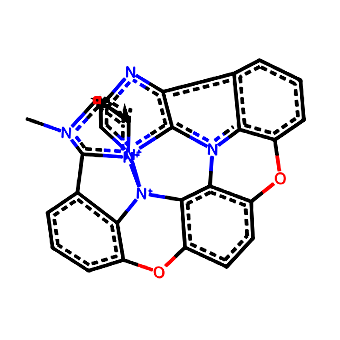 Cn1c2[n+](c3ccccc31)[N+]13c4c(cccc4-2)Oc2ccc4c(c21)-n1c2c(cccc2c2ncc[n+]3c21)O4